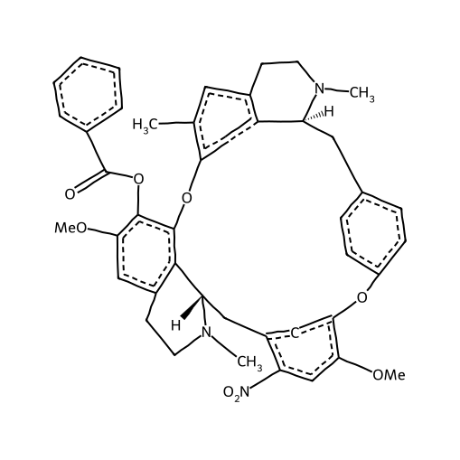 COc1cc([N+](=O)[O-])c2cc1Oc1ccc(cc1)C[C@H]1c3cc(c(C)cc3CCN1C)Oc1c(OC(=O)c3ccccc3)c(OC)cc3c1[C@H](C2)N(C)CC3